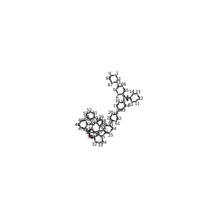 c1ccc(-c2ccc(N(c3ccccc3)c3ccc(-c4ccc(-c5ccc6c(c5)C5(c7ccccc7-6)c6ccccc6C(c6ccccc6)(c6ccccc6)c6ccccc65)cc4)cc3)cc2)cc1